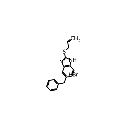 Br.C=CCSc1nc2cc(Cc3ccccc3)ccc2[nH]1